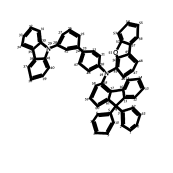 c1ccc(C2(c3ccccc3)c3ccccc3-c3c(N(c4ccc(-c5cccc(-n6c7ccccc7c7ccccc76)c5)cc4)c4cccc5c4oc4ccccc45)cccc32)cc1